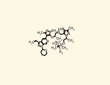 C=Cc1nn(C2CCCCO2)c2cnc(-c3c(C)nn(C)c3O[C@@H](C)CN(C)Cc3c(I)c(C)nn3[C@@H](C)CO[Si](C)(C)C(C)(C)C)cc12